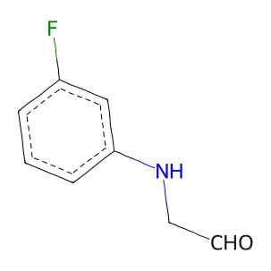 O=CCNc1cccc(F)c1